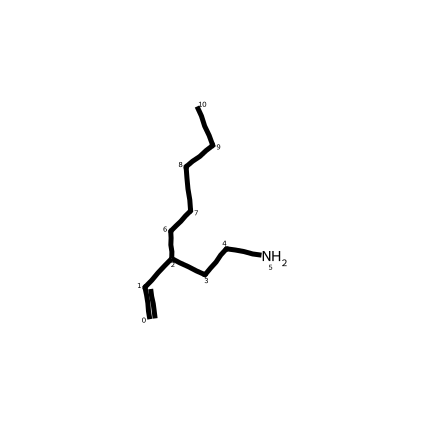 C=CC(CCN)CCCCC